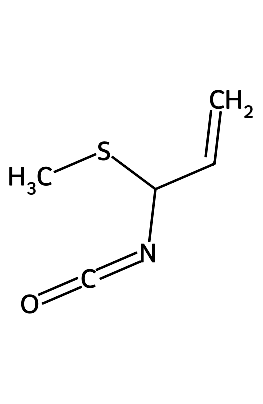 C=CC(N=C=O)SC